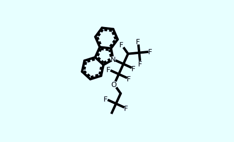 CC(F)(F)COC(F)(F)C(F)(C(F)C(F)(F)F)n1c2ccccc2c2ccccc21